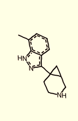 Cc1cccc2c(C34CCNCC3C4)n[nH]c12